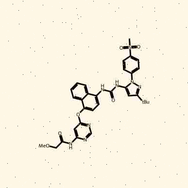 COCC(=O)Nc1cc(Oc2ccc(NC(=O)Nc3cc(C(C)(C)C)nn3-c3ccc(S(C)(=O)=O)cc3)c3ccccc23)ncn1